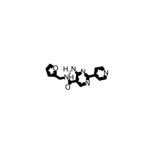 Nc1nc(-c2ccncc2)ncc1C(=O)NCc1ccco1